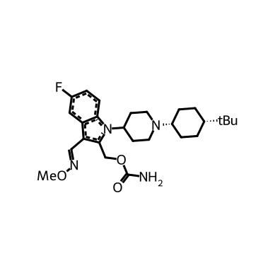 CON=Cc1c(COC(N)=O)n(C2CCN([C@H]3CC[C@@H](C(C)(C)C)CC3)CC2)c2ccc(F)cc12